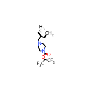 C=C/C(=C\C)CN1CCN(C(=O)OC(C(F)(F)F)C(F)(F)F)CC1